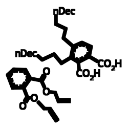 C=CCOC(=O)c1ccccc1C(=O)OCC=C.CCCCCCCCCCCCCc1ccc(C(=O)O)c(C(=O)O)c1CCCCCCCCCCCCC